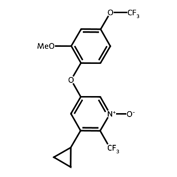 COc1cc(OC(F)(F)F)ccc1Oc1cc(C2CC2)c(C(F)(F)F)[n+]([O-])c1